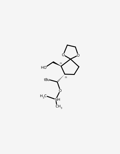 C[SiH](C)OC([C@H]1CCC2(OCCO2)[C@@H]1CO)C(C)(C)C